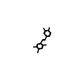 Cc1ccc(/C=C/c2cc(C)c(C)cc2C)cc1C